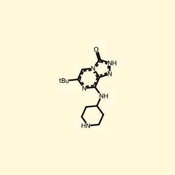 CC(C)(C)c1cn2c(=O)[nH]nc2c(NC2CCNCC2)n1